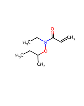 C=CC(=O)N(CC)OC(C)CC